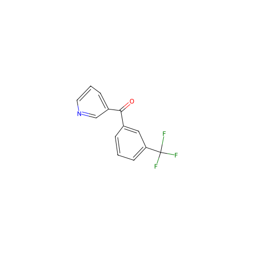 O=C(c1cccnc1)c1cccc(C(F)(F)F)c1